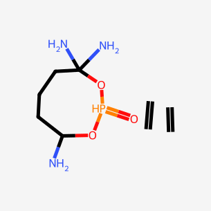 C=C.C=C.NC1CCCC(N)(N)O[PH](=O)O1